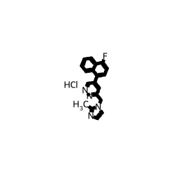 Cc1nccn1Cc1cc(-c2ccc(F)c3ccccc23)cnn1.Cl